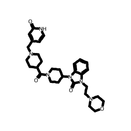 O=C(C1CCN(Cc2cc[nH]c(=O)c2)CC1)N1CCC(n2c(=O)n(CCN3CCOCC3)c3ccccc32)CC1